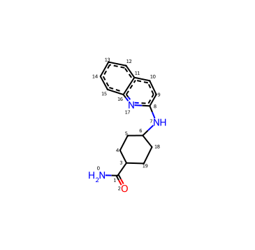 NC(=O)C1CCC(Nc2ccc3ccccc3n2)CC1